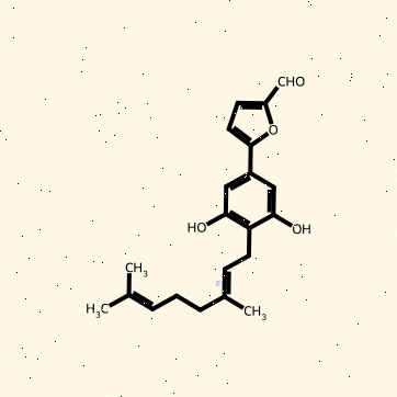 CC(C)=CCC/C(C)=C/Cc1c(O)cc(-c2ccc(C=O)o2)cc1O